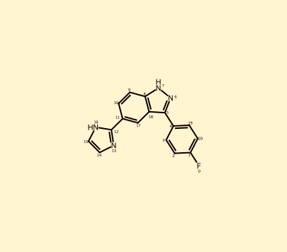 Fc1ccc(-c2n[nH]c3ccc(-c4ncc[nH]4)cc23)cc1